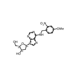 COc1ccc(CNc2ncnc3c2ncn3[C@H]2C[C@@H](O)[C@@H](CO)O2)c([N+](=O)[O-])c1